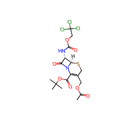 CC(=O)OCC1=C(C(=O)OC(C)(C)C)N2C(=O)[C@H](NC(=O)OCC(Cl)(Cl)Cl)[C@H]2SC1